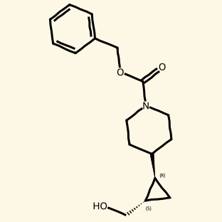 O=C(OCc1ccccc1)N1CCC([C@H]2C[C@@H]2CO)CC1